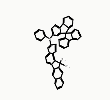 CC1(C)c2cc3ccccc3cc2-c2ccc3cc(N(c4ccccc4)c4ccc5c(c4)C4(c6ccccc6-c6ccccc64)c4ccccc4-5)ccc3c21